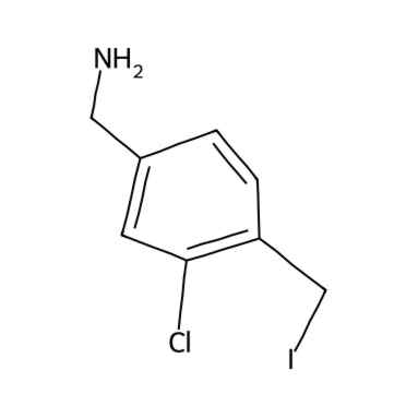 NCc1ccc(CI)c(Cl)c1